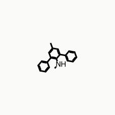 CNc1c(-c2ccccc2)cc(C)cc1-c1ccccc1